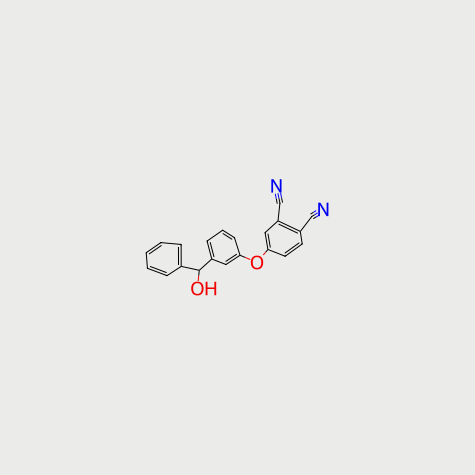 N#Cc1ccc(Oc2cccc(C(O)c3ccccc3)c2)cc1C#N